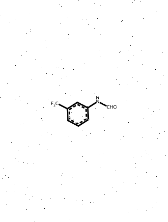 O=CNc1cccc(C(F)(F)F)c1